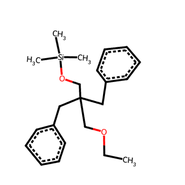 CCOCC(CO[Si](C)(C)C)(Cc1ccccc1)Cc1ccccc1